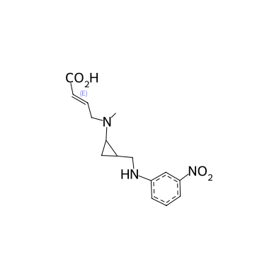 CN(C/C=C/C(=O)O)C1CC1CNc1cccc([N+](=O)[O-])c1